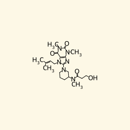 CC(C)=CCn1c(N2CCCC(N(C)C(=O)CCO)C2)nc2c1c(=O)n(C)c(=O)n2C